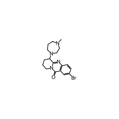 CN1CCCN(C2CCCn3c2nc2ccc(Br)cc2c3=O)CC1